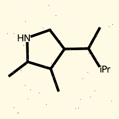 CC(C)C(C)C1CNC(C)C1C